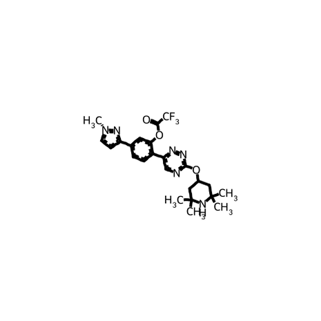 Cn1ccc(-c2ccc(-c3cnc(OC4CC(C)(C)NC(C)(C)C4)nn3)c(OC(=O)C(F)(F)F)c2)n1